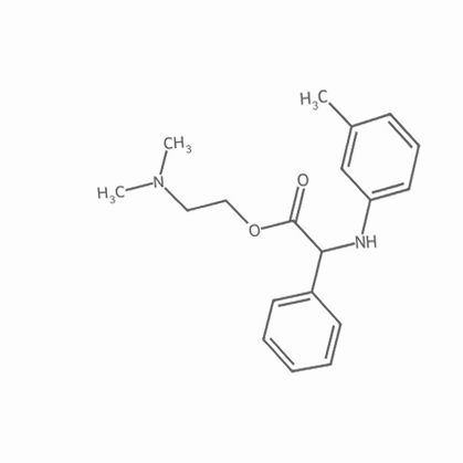 Cc1cccc(NC(C(=O)OCCN(C)C)c2ccccc2)c1